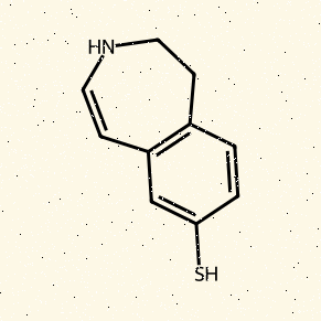 Sc1ccc2c(c1)C=CNCC2